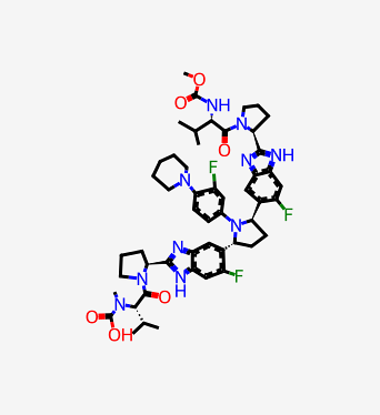 COC(=O)N[C@H](C(=O)N1CCC[C@H]1c1nc2cc([C@H]3CC[C@H](c4cc5nc([C@@H]6CCCN6C(=O)[C@H](C(C)C)N(C)C(=O)O)[nH]c5cc4F)N3c3ccc(N4CCCCC4)c(F)c3)c(F)cc2[nH]1)C(C)C